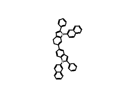 C1=C(c2ccc3c(c2)cc(-c2ccccc2)n3-c2ccc3ccccc3c2)CCc2cc(-c3ccccc3)n(-c3ccc4ccccc4c3)c21